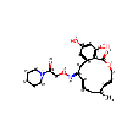 CC1/C=C/COC(=O)c2c(O)cc(O)cc2CC(=N\OCC(=O)N2CCCCC2)/C=C/C1